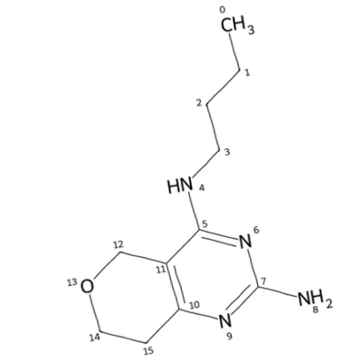 CCCCNc1nc(N)nc2c1COCC2